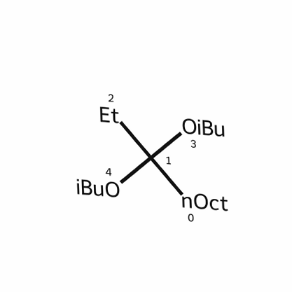 CCCCCCCCC(CC)(OCC(C)C)OCC(C)C